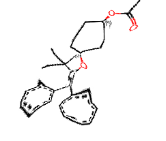 CC(=O)O[C@@H]1CC[C@H](O[Si](c2ccccc2)(c2ccccc2)C(C)(C)C)C1